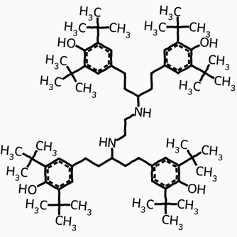 CC(C)(C)c1cc(CCC(CCc2cc(C(C)(C)C)c(O)c(C(C)(C)C)c2)NCCNC(CCc2cc(C(C)(C)C)c(O)c(C(C)(C)C)c2)CCc2cc(C(C)(C)C)c(O)c(C(C)(C)C)c2)cc(C(C)(C)C)c1O